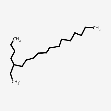 [CH2]CC(CCCC)CCCCCCCCCCCCC